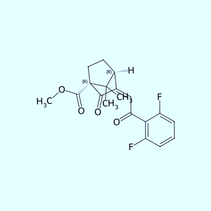 COC(=O)[C@@]12CC[C@@H](C(=CC(=O)c3c(F)cccc3F)C1=O)C2(C)C